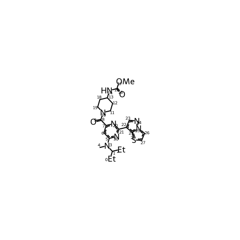 CCC(CC)N(C)c1cc(C(=O)N2CCC(NC(=O)OC)CC2)nc(-c2cnn3ccsc23)n1